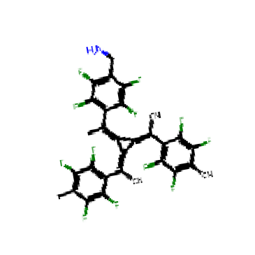 C/C(=C1\C(=C(C#N)c2c(F)c(F)c(C)c(F)c2F)\C1=C(\C#N)c1c(F)c(F)c(C#N)c(F)c1F)c1c(F)c(F)c(CN)c(F)c1F